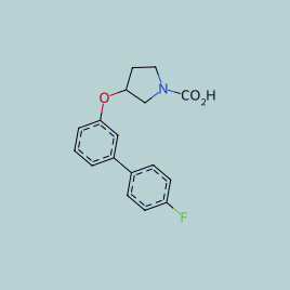 O=C(O)N1CCC(Oc2cccc(-c3ccc(F)cc3)c2)C1